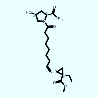 CC[C@]1(C(=O)OC)C[C@H]1/C=C\CCCCCCC(=O)N1C[C@@H](O)C[C@H]1C(N)=O